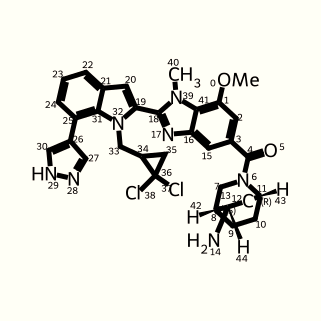 COc1cc(C(=O)N2C[C@H]3CC[C@@H]2C[C@@H]3N)cc2nc(-c3cc4cccc(-c5cn[nH]c5)c4n3CC3CC3(Cl)Cl)n(C)c12